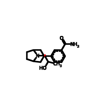 CC(O)CN1C2CCC1CC(c1cccc(C(N)=O)c1)C2